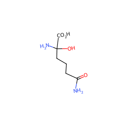 NC(=O)CCCC(N)(O)C(=O)O